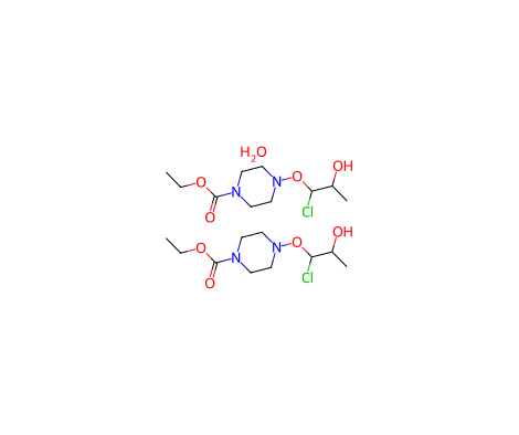 CCOC(=O)N1CCN(OC(Cl)C(C)O)CC1.CCOC(=O)N1CCN(OC(Cl)C(C)O)CC1.O